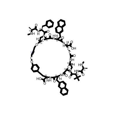 CN[C@@H](C)C(=O)N[C@@H](Cc1ccccc1)C(=O)N1C[C@@H]2C[C@H]1C(=O)N[C@@H](Cc1ccc3ccccc3c1)C(=O)N[C@H](C(=O)O)CCC(=O)N[C@H]1C[C@@H](C(=O)N[C@@H](Cc3ccc4ccccc4c3)C(=O)N[C@H](C(=O)O)Cc3ccc(cc3)OC/C=C/CO2)N(C(=O)[C@@H](NC(=O)[C@H](C)NC)C(C)(C)C)C1